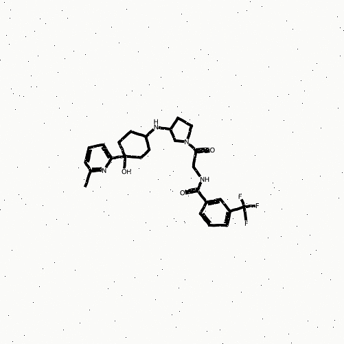 Cc1cccc(C2(O)CCC(NC3CCN(C(=O)CNC(=O)c4cccc(C(F)(F)F)c4)C3)CC2)n1